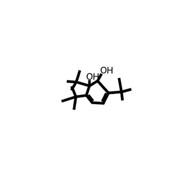 CC(C)(C)C1=CC=C(C(C)(C)C)C(O)(C(C)(C)C)C1O